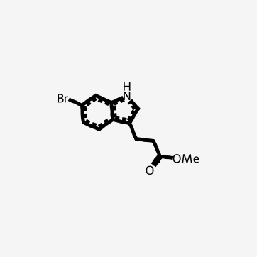 COC(=O)CCc1c[nH]c2cc(Br)ccc12